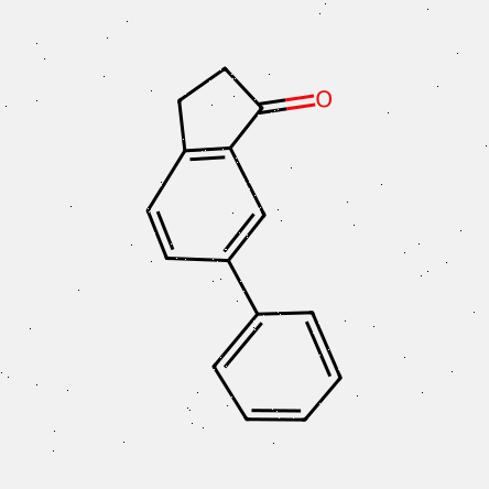 O=C1CCc2ccc(-c3ccccc3)cc21